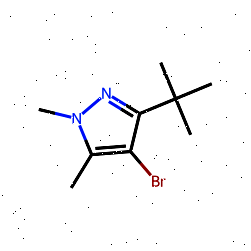 Cc1c(Br)c(C(C)(C)C)nn1C